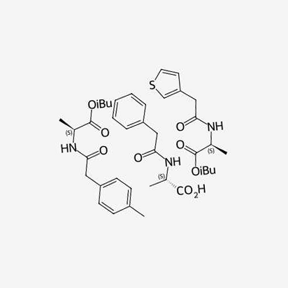 CC(C)COC(=O)[C@H](C)NC(=O)Cc1ccsc1.C[C@H](NC(=O)Cc1ccccc1)C(=O)O.Cc1ccc(CC(=O)N[C@@H](C)C(=O)OCC(C)C)cc1